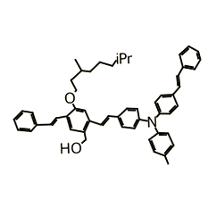 Cc1ccc(N(c2ccc(/C=C/c3ccccc3)cc2)c2ccc(/C=C/c3cc(OCCC(C)CCCC(C)C)c(/C=C/c4ccccc4)cc3CO)cc2)cc1